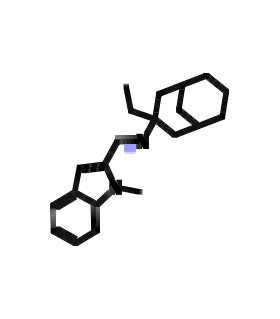 CCC1(/N=C/c2cc3ccccc3n2C)CC2CCCC(C2)C1